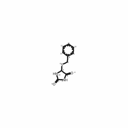 O=C1NC(=O)C(SCc2ccccc2)N1